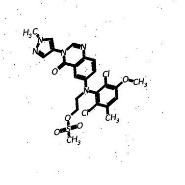 COc1cc(C)c(Cl)c(N(CCOS(C)(=O)=O)c2ccc3ncn(-c4cnn(C)c4)c(=O)c3c2)c1Cl